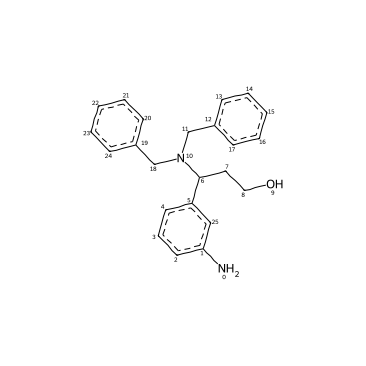 Nc1cccc(C(CCO)N(Cc2ccccc2)Cc2ccccc2)c1